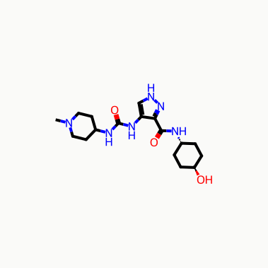 CN1CCC(NC(=O)Nc2c[nH]nc2C(=O)N[C@H]2CC[C@H](O)CC2)CC1